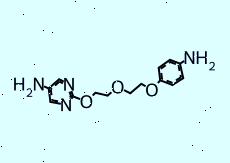 Nc1ccc(OCCOCCOc2ncc(N)cn2)cc1